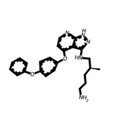 C[C@@H](CCCN)CNc1n[nH]c2nccc(Oc3ccc(Oc4ccccc4)cc3)c12